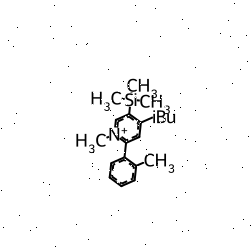 CCC(C)c1cc(-c2ccccc2C)[n+](C)cc1[Si](C)(C)C